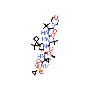 C=C[C@@H]1C[C@]1(NC(=O)[C@@H]1C[C@@]2(CN1C(=O)[C@@H](NC(=O)N[C@H](C(=O)N1CCOCC1)C(C)(C)C)C(C)(C)C)C(C)(C)C21CCC1)C(=O)NS(=O)(=O)C1CC1